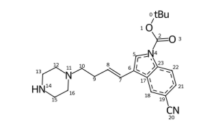 CC(C)(C)OC(=O)n1cc(/C=C/CCN2CCNCC2)c2cc(C#N)ccc21